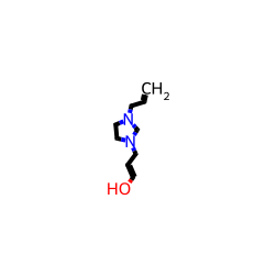 C=CCN1CCN(CC=CO)C1